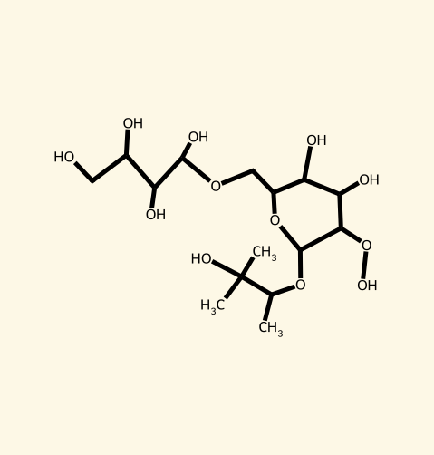 CC(OC1OC(COC(O)C(O)C(O)CO)C(O)C(O)C1OO)C(C)(C)O